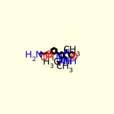 CC(C)Nc1nc(-c2cccc(OC[C@@H](O)CN)c2)cc(N(C)C2CCOCC2)c1C=N